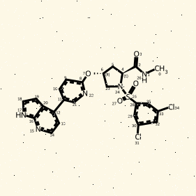 CNC(=O)[C@@H]1C[C@@H](Oc2ccc(-c3ccnc4[nH]ccc34)cn2)CN1S(=O)(=O)c1cc(Cl)cc(Cl)c1